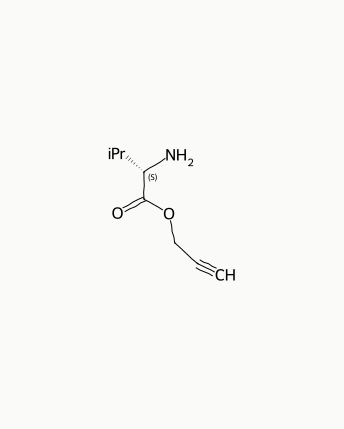 C#CCOC(=O)[C@@H](N)C(C)C